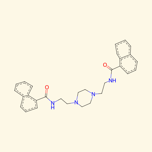 O=C(NCCN1CCN(CCNC(=O)c2cccc3ccccc23)CC1)c1cccc2ccccc12